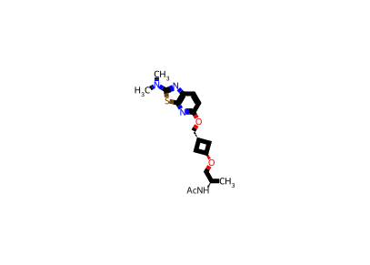 CC(=O)N[C@@H](C)CO[C@H]1C[C@H](COc2ccc3nc(N(C)C)sc3n2)C1